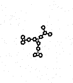 C1=CC2c3ccccc3N(c3ccc(-c4ccc5c(c4)c4cc(-c6ccc(-n7c8ccccc8c8ccccc87)cc6)ccc4n5-c4ccc(-c5cc(-c6ccccc6)cc(-c6ccccc6)c5)cc4)cc3)C2C=C1